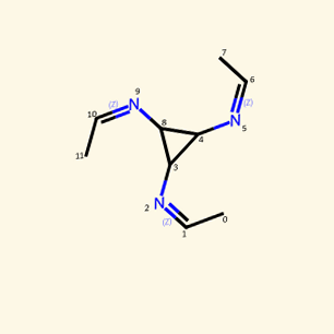 C/C=N\C1C(/N=C\C)C1/N=C\C